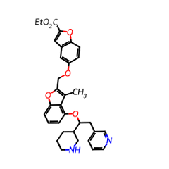 CCOC(=O)c1cc2cc(OCc3oc4cccc(OC(Cc5cccnc5)C5CCCNC5)c4c3C)ccc2o1